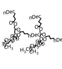 CCCCCCCCCCCCCC(=O)OC[C@H](COP(=O)([O-])OCC[N+](C)(C)C)OC(=O)CCCCCCCCCCCCC.CCCCCCCCCCCCCC(=O)OC[C@H](COP(=O)([O-])OCC[N+](C)(C)C)OC(=O)CCCCCCCCCCCCC